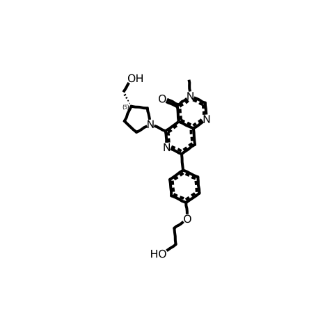 Cn1cnc2cc(-c3ccc(OCCO)cc3)nc(N3CC[C@H](CO)C3)c2c1=O